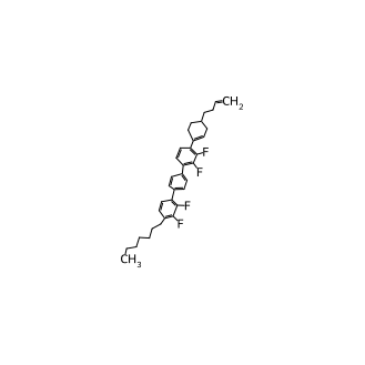 C=CCCC1CC=C(c2ccc(-c3ccc(-c4ccc(CCCCCCC)c(F)c4F)cc3)c(F)c2F)CC1